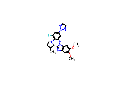 COc1cc2nc([C@@H]3[C@@H](C)CCN3c3ccc(-n4nccn4)[c]c3F)[nH]c2cc1OC